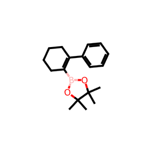 CC1(C)OB(C2=C(c3ccccc3)CCCC2)OC1(C)C